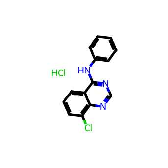 Cl.Clc1cccc2c(Nc3ccccc3)ncnc12